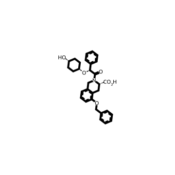 O=C(O)[C@@H]1Cc2c(cccc2OCc2ccccc2)CN1C(=O)[C@H](O[C@H]1CC[C@@H](O)CC1)c1ccccc1